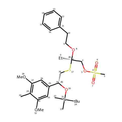 CC[C@@](COS(C)(=O)=O)(OCCc1ccccc1)SC[C@H](O[Si](C)(C)C(C)(C)C)c1cc(OC)c(C)c(OC)c1